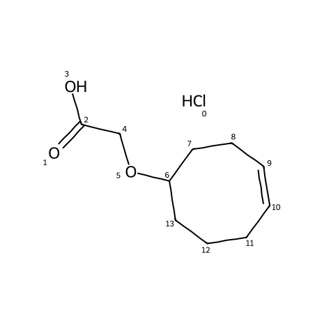 Cl.O=C(O)COC1CCC=CCCC1